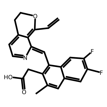 C=CC1=c2c(ccn/c2=C\c2c(CC(=O)O)c(C)cc3cc(F)c(F)cc23)CCO1